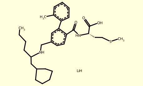 CCCCC(CC1CCCCC1)NCc1ccc(C(=O)N[C@@H](CCSC)C(=O)O)c(-c2ccccc2C)c1.[LiH]